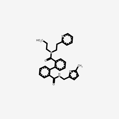 Cc1ccc(CNC(=O)c2ccccc2-c2ccccc2C(=O)N(CCC(=O)O)CCc2ccccn2)o1